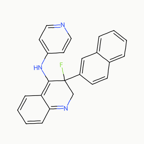 FC1(c2ccc3ccccc3c2)CN=c2ccccc2=C1Nc1ccncc1